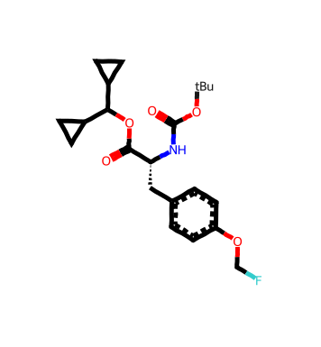 CC(C)(C)OC(=O)N[C@H](Cc1ccc(OCF)cc1)C(=O)OC(C1CC1)C1CC1